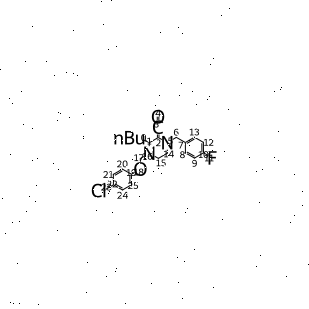 CCCC[C@H]1C(=C=O)N(Cc2ccc(F)cc2)CCN1COc1ccc(Cl)cc1